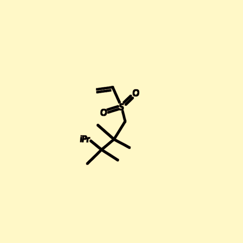 C=CS(=O)(=O)CC(C)(C)C(C)(C)C(C)C